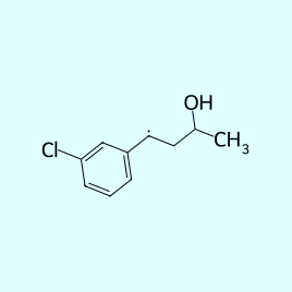 CC(O)C[CH]c1cccc(Cl)c1